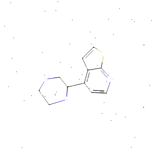 c1cc(C2CNCCN2)c2ccsc2n1